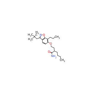 CCCCC(CCOc1ccc2c(CC(C)(C)C)noc2c1CCC)C(N)=O